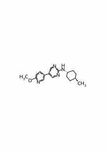 COc1ccc(-c2cnc(N[C@H]3CC[C@H](C)CC3)nc2)cn1